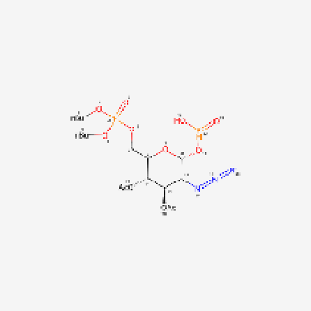 CCCCOP(=O)(OCCCC)OCC1O[C@H](O[PH](=O)O)C(N=[N+]=[N-])[C@@H](OC(C)=O)[C@@H]1OC(C)=O